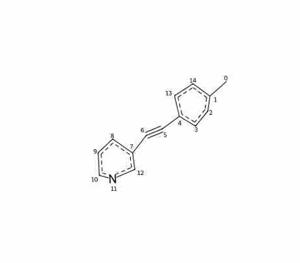 Cc1ccc(C#Cc2cccnc2)cc1